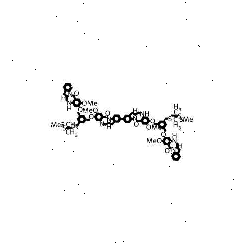 COc1cc2c(cc1OCc1cc(COc3cc4c(cc3OC)C(=O)N3c5ccccc5C[C@H]3CN4)cc(CSCC(C)(C)SSC)c1)N=C[C@@H]1Cc3cc(-c4ccc5c(c4)C[C@H]4CNc6cc(OCc7cc(COc8cc9c(cc8OC)C(=O)N8c%10ccccc%10C[C@H]8CN9)cc(CSCC(C)(C)SSC)c7)c(OC)cc6C(=O)N54)ccc3N1C2=O